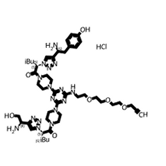 C#CCOCCOCCOCCNc1nc(N2CCN(C(=O)[C@H]([C@@H](C)CC)n3cc([C@@H](N)CO)nn3)CC2)nc(N2CCN(C(=O)[C@H]([C@@H](C)CC)n3cc([C@@H](N)Cc4ccc(O)cc4)nn3)CC2)n1.Cl